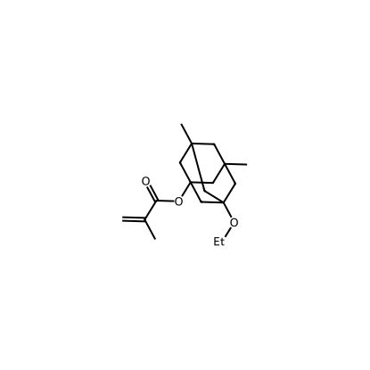 C=C(C)C(=O)OC12CC3(C)CC(C)(CC(OCC)(C3)C1)C2